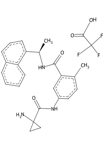 Cc1ccc(NC(=O)C2(N)CC2)cc1C(=O)N[C@H](C)c1cccc2ccccc12.O=C(O)C(F)(F)F